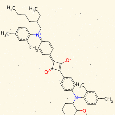 CCCCC(CC)C[N+](=C1C=CC(=C2C(=O)C(c3ccc(N(c4ccc(C)cc4C)C4CCCCC4OC)cc3)=C2[O-])C=C1)c1ccc(C)cc1C